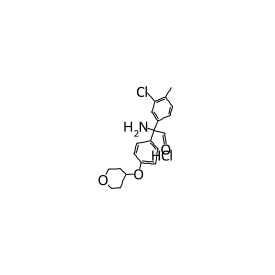 Cc1ccc(C(N)(C=O)c2ccc(OC3CCOCC3)cc2)cc1Cl.Cl